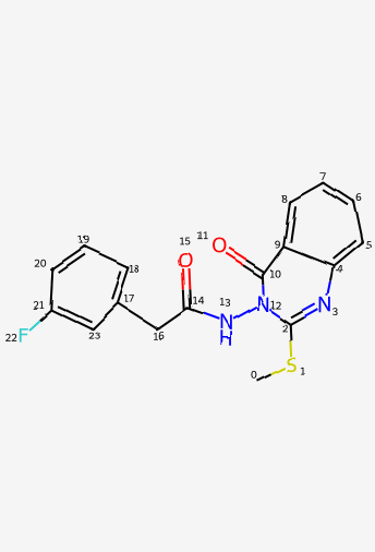 CSc1nc2ccccc2c(=O)n1NC(=O)Cc1cccc(F)c1